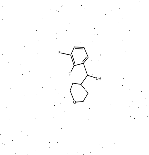 OC(c1cccc(F)c1F)C1CCOCC1